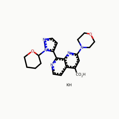 O=C(O)c1cc(N2CCOCC2)nc2c(-c3ccnn3C3CCCCO3)nccc12.[KH]